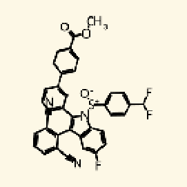 COC(=O)C1=CC=C(c2cccc(-c3c(-c4c(C#N)cccc4C#N)c4cc(F)ccc4n3[S+]([O-])c3ccc(C(F)F)cc3)c2)CC1